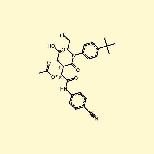 CC(=O)O[C@@H](C(=O)Nc1ccc(C#N)cc1)[C@@H](CC(=O)O)C(=O)N(CCCl)c1ccc(C(C)(C)C)cc1